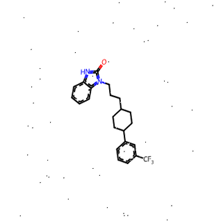 O=c1[nH]c2ccccc2n1CCCC1CCC(c2cccc(C(F)(F)F)c2)CC1